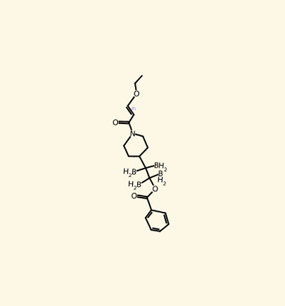 BC(B)(OC(=O)c1ccccc1)C(B)(B)C1CCN(C(=O)/C=C/OCC)CC1